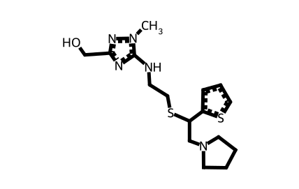 Cn1nc(CO)nc1NCCSC(CN1CCCC1)c1cccs1